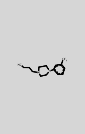 N#CCCCN1CCN(c2cccc(C(F)(F)F)c2)CC1